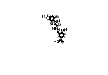 Cc1cc(Br)c(NCC(=O)N/N=C/c2cc([N+](=O)O)ccc2O)c(Br)c1